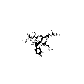 CCOC(=O)n1c(C(=O)c2cc(COC(C)=O)co2)c(NC(=O)C(C)OC(C)=O)c2ccc(Cl)cc21